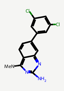 CNc1nc(N)nc2cc(-c3cc(Cl)cc(Cl)c3)ccc12